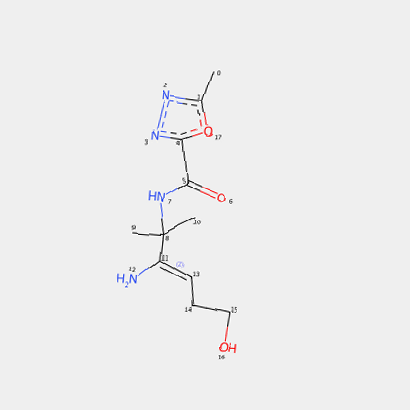 Cc1nnc(C(=O)NC(C)(C)/C(N)=C/CCO)o1